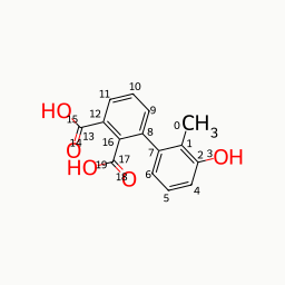 Cc1c(O)cccc1-c1cccc(C(=O)O)c1C(=O)O